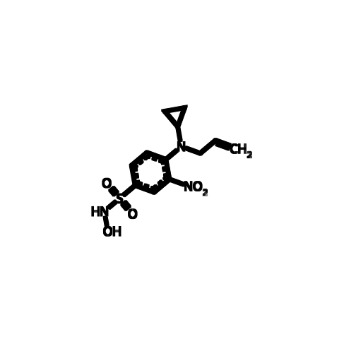 C=CCN(c1ccc(S(=O)(=O)NO)cc1[N+](=O)[O-])C1CC1